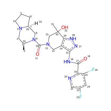 C[C@H]1CN2CCC[C@H]2CN1C(=O)N1Cc2c(NC(=O)c3ncc(F)cc3F)n[nH]c2C(C)(O)C1